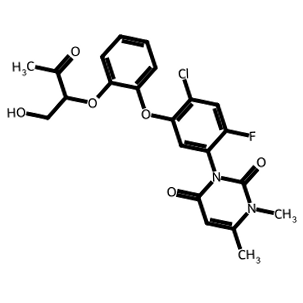 CC(=O)C(CO)Oc1ccccc1Oc1cc(-n2c(=O)cc(C)n(C)c2=O)c(F)cc1Cl